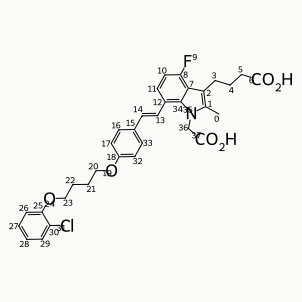 Cc1c(CCCC(=O)O)c2c(F)ccc(/C=C/c3ccc(OCCCCOc4ccccc4Cl)cc3)c2n1CC(=O)O